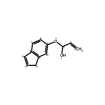 C=CC(O)Oc1ccc2c(c1)CC=C2